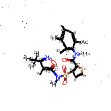 [2H]c1c(C)cc(C(C)=O)c(N([2H])C(=O)c2sccc2S(=O)(=O)N([2H])c2onc(C([2H])([2H])[2H])c2C)c1C